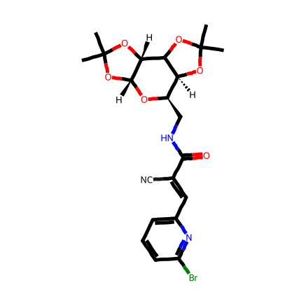 CC1(C)O[C@H]2O[C@H](CNC(=O)/C(C#N)=C/c3cccc(Br)n3)[C@@H]3OC(C)(C)OC3[C@H]2O1